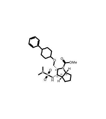 COC(=O)N1[C@@H]2CCC[C@@H]2[C@H](NS(=O)(=O)N(C)C)[C@@H]1COC1CCC(c2ccccc2)CC1